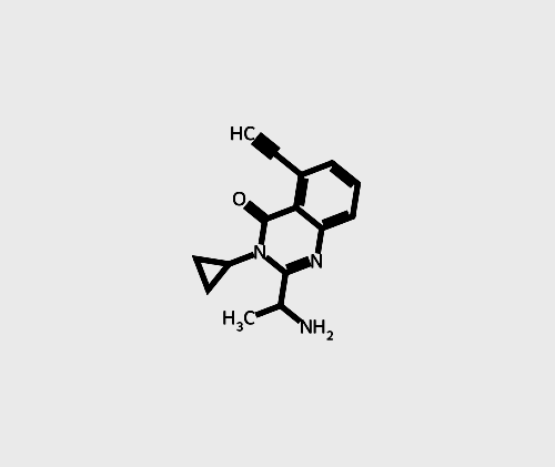 C#Cc1cccc2nc(C(C)N)n(C3CC3)c(=O)c12